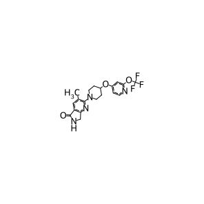 Cc1cc2c(nc1N1CCC(Oc3ccnc(OC(F)(F)F)c3)CC1)CNC2=O